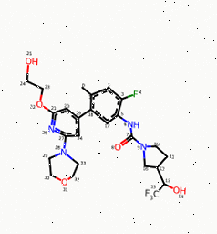 Cc1cc(F)c(NC(=O)N2CCC(C(O)C(F)(F)F)C2)cc1-c1cc(OCCO)nc(N2CCOCC2)c1